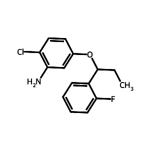 CCC(Oc1ccc(Cl)c(N)c1)c1ccccc1F